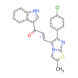 Cc1cn2c(/C=C/C(=O)c3c[nH]c4ccccc34)c(-c3ccc(Cl)cc3)nc2s1